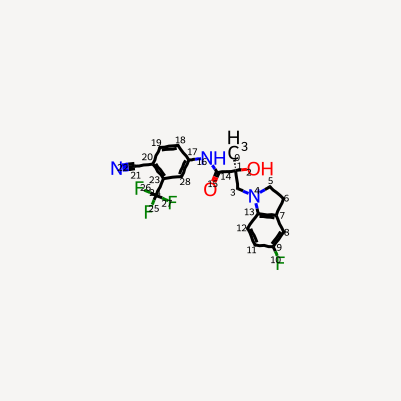 C[C@](O)(CN1CCc2cc(F)ccc21)C(=O)Nc1ccc(C#N)c(C(F)(F)F)c1